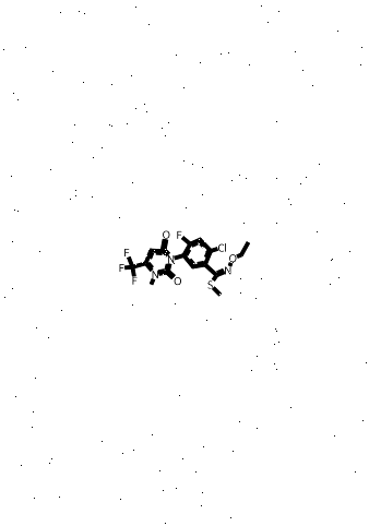 CCO/N=C(/SC)c1cc(-n2c(=O)cc(C(F)(F)F)n(C)c2=O)c(F)cc1Cl